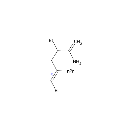 C=C(N)C(CC)C/C(=C/CC)CCC